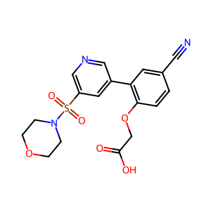 N#Cc1ccc(OCC(=O)O)c(-c2cncc(S(=O)(=O)N3CCOCC3)c2)c1